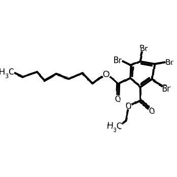 CCCCCCCCOC(=O)c1c(Br)c(Br)c(Br)c(Br)c1C(=O)OCC